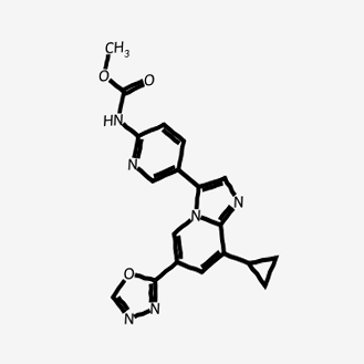 COC(=O)Nc1ccc(-c2cnc3c(C4CC4)cc(-c4nnco4)cn23)cn1